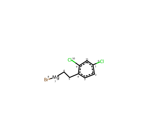 Clc1ccc(C[CH2][Mg][Br])c(Cl)c1